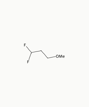 COCC[C](F)F